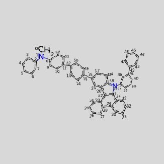 CN(c1ccccc1)c1ccc(-c2ccc(-c3ccc4c(c3)c3c5ccccc5c5ccccc5c3n4-c3cccc(-c4ccccc4)c3)cc2)cc1